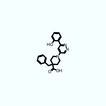 O=C(O)C1(Cc2ccccc2)CCN(c2cnnc(-c3ccccc3O)c2)CC1